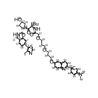 Cc1ncsc1-c1ccc([C@H](C)NC(=O)[C@@H]2C[C@@H](O)CN2C(=O)C(NC(=O)COCCCOCCCOc2ccc3nc(-c4ccc(N(C)C)cc4)ccc3c2)C(C)(C)C)cc1